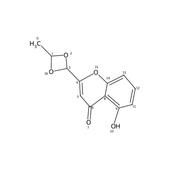 CC1OC(c2cc(=O)c3c(O)cccc3o2)O1